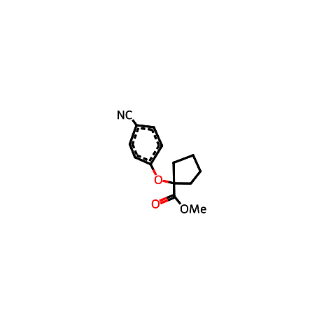 COC(=O)C1(Oc2ccc(C#N)cc2)CCCC1